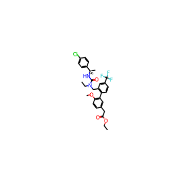 CCOC(=O)Cc1ccc(OC)c(-c2ccc(C(F)(F)F)cc2CN(CC)C(=O)N[C@H](C)c2ccc(Cl)cc2)c1